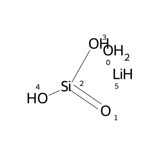 O.O=[Si](O)O.[LiH]